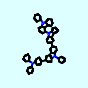 c1ccc(N(c2ccccc2)c2ccc(-c3ccc4c(c3)c3cc(-c5ccc6c(c5)c5ccccc5n6-c5cccc6c5c5ccccc5n6-c5ccccc5)ccc3n4-c3ccccc3)cc2)cc1